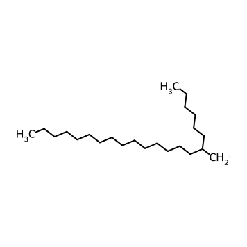 [CH2]C(CCCCCC)CCCCCCCCCCCCCCC